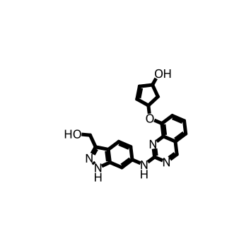 OCc1n[nH]c2cc(Nc3ncc4cccc(OC5C=CC(O)C5)c4n3)ccc12